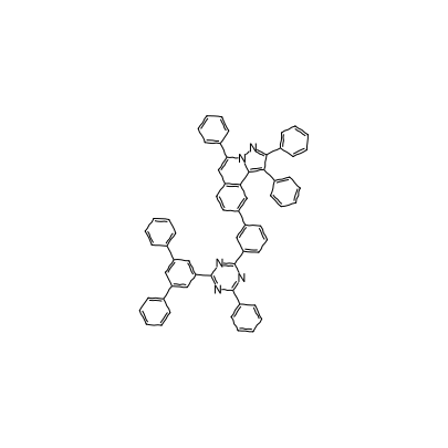 c1ccc(-c2cc(-c3ccccc3)cc(-c3nc(-c4ccccc4)nc(-c4cccc(-c5ccc6cc(-c7ccccc7)n7nc(-c8ccccc8)c(-c8ccccc8)c7c6c5)c4)n3)c2)cc1